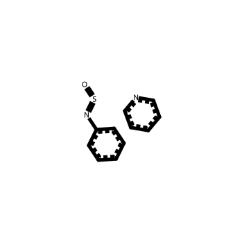 O=S=Nc1ccccc1.c1ccncc1